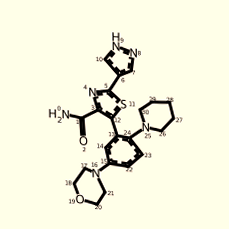 NC(=O)c1nc(-c2cn[nH]c2)sc1-c1cc(N2CCOCC2)ccc1N1CCCCC1